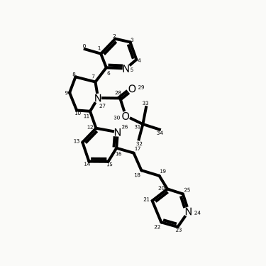 Cc1cccnc1C1CCCC(c2cccc(CCCc3cccnc3)n2)N1C(=O)OC(C)(C)C